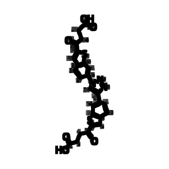 O=C(O)CCC(=O)c1cc2ccc(-c3cn(-c4ccc5cc(C(=O)CCC(=O)O)sc5c4)nn3)cc2s1